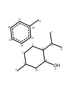 CC1CCC(C(C)C)C(O)C1.Cc1ccccc1